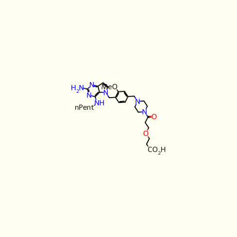 CCCCCNc1nc(N)nc2ccn(Cc3ccc(CN4CCN(C(=O)CCOCCC(=O)O)CC4)cc3OC)c12